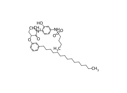 CCCCCCCCCCCCCCCc1cccc(OC(CC)C(=O)N(C)c2ccc(NS(=O)(=O)CCCC)cc2O)c1